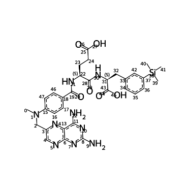 CN(Cc1cnc2nc(N)nc(N)c2n1)c1ccc(C(=O)N[C@@H](CCC(=O)O)C(=O)N[C@@H](Cc2cccc([Si](C)(C)C)c2)C(=O)O)cc1